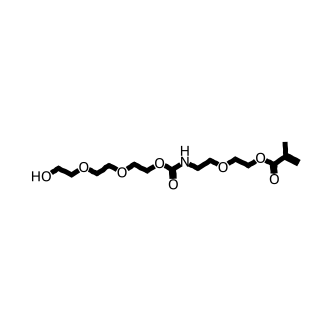 C=C(C)C(=O)OCCOCCNC(=O)OCCOCCOCCO